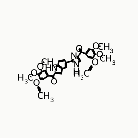 CC#COc1cc(C(=O)c2c[nH]c(-c3ccc4[nH]c(C(=O)c5cc(OC)c(OC)c(OC#CC)c5)cc4c3)n2)cc(OC)c1OC